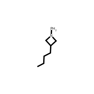 CCCCC1CN(P)C1